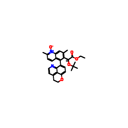 CCOC(=O)[C@@H](OC(C)(C)C)c1c(C)cc2c(ccc(C)[n+]2[O-])c1-c1ccc2c3c(ccnc13)CCO2